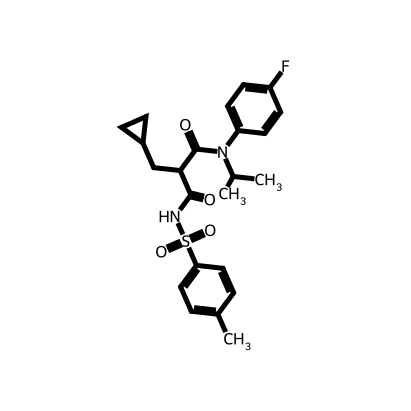 Cc1ccc(S(=O)(=O)NC(=O)C(CC2CC2)C(=O)N(c2ccc(F)cc2)C(C)C)cc1